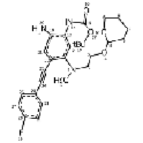 CN(CCOC1CCCCO1)c1cc(NC(=O)OC(C)(C)C)c(N)cc1C#Cc1ccc(F)cc1